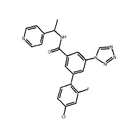 CC(NC(=O)c1cc(-c2ccc(Cl)cc2F)cc(-n2cnnn2)c1)c1ccncc1